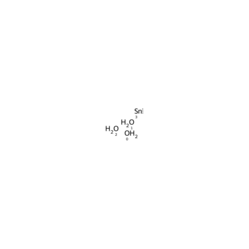 O.O.O.[Sn]